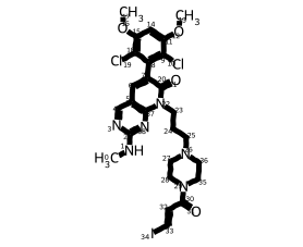 CNc1ncc2cc(-c3c(Cl)c(OC)cc(OC)c3Cl)c(=O)n(CCCN3CCN(C(=O)/C=C/I)CC3)c2n1